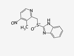 Cc1c(N=O)ccnc1C[S+]([O-])c1nc2ccccc2[nH]1